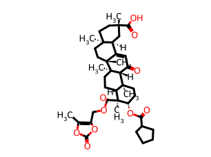 Cc1oc(=O)oc1COC(=O)[C@]1(C)[C@@H](OC(=O)C2CCCC2)CC[C@@]2(C)[C@H]1CC[C@]1(C)[C@@H]2C(=O)C=C2[C@@H]3C[C@@](C)(C(=O)O)CC[C@]3(C)CC[C@]21C